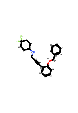 FC1(F)CCC(NCC#Cc2ccccc2OCc2ccccc2)CC1